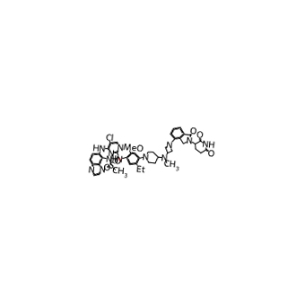 CCc1cc(Nc2ncc(Cl)c(Nc3ccc4nccnc4c3NS(C)(=O)=O)n2)c(OC)cc1N1CCC(N(C)C2CN(c3cccc4c3CN(C3CCC(=O)NC3=O)C4=O)C2)CC1